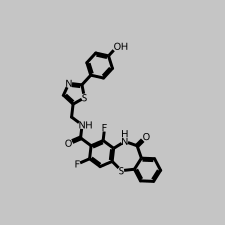 O=C1Nc2c(cc(F)c(C(=O)NCc3cnc(-c4ccc(O)cc4)s3)c2F)Sc2ccccc21